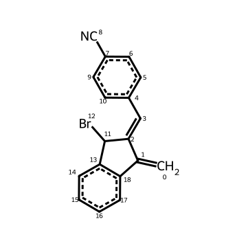 C=C1/C(=C/c2ccc(C#N)cc2)C(Br)c2ccccc21